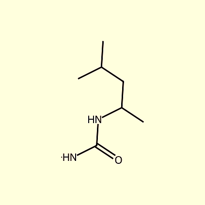 CC(C)CC(C)NC([NH])=O